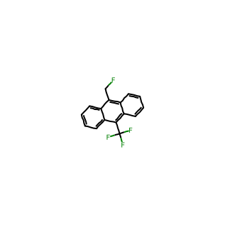 FCc1c2ccccc2c(C(F)(F)F)c2ccccc12